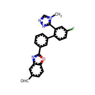 Cn1cnnc1-c1cc(F)ccc1-c1cccc(-c2nc3cc(C=O)ccc3o2)c1